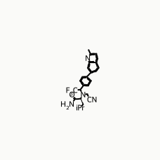 Cc1ccc2ccc(-c3ccc(C(N(CC#N)[C@@H](CC(C)C)C(N)=O)C(F)(F)F)cc3)cc2n1